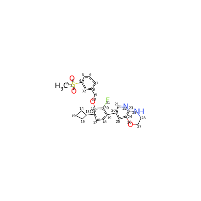 CS(=O)(=O)c1cccc(COc2c(C3CCC3)ccc(-c3cnc4c(c3)OCCN4)c2F)c1